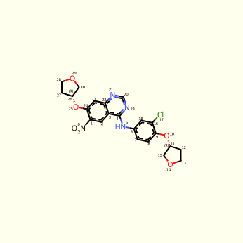 O=[N+]([O-])c1cc2c(Nc3ccc(O[C@@H]4CCOC4)c(Cl)c3)ncnc2cc1O[C@@H]1CCOC1